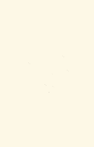 Cl.c1cc2c(ncc3nnc([C@@H]4CCNC4)n32)[nH]1